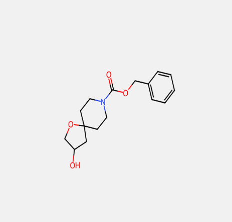 O=C(OCc1ccccc1)N1CCC2(CC1)CC(O)CO2